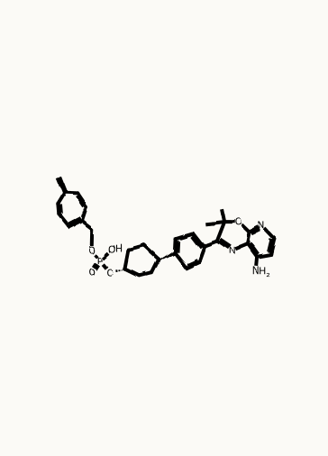 C=C1C=CC=C(COP(=O)(O)O[C@H]2CC[C@H](c3ccc(C4=Nc5c(N)ccnc5OC4(C)C)cc3)CC2)C=C1